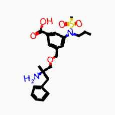 CCCN(c1cc(COCC(C)(N)Cc2ccccc2)cc(C(=O)O)c1)S(C)(=O)=O